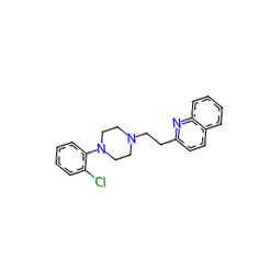 Clc1ccccc1N1CCN(CCc2ccc3ccccc3n2)CC1